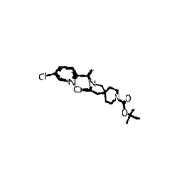 CC(c1ccc(Cl)cn1)N1CC2(CCN(C(=O)OC(C)(C)C)CC2)CC1=O